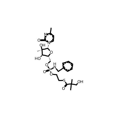 Cc1ccn([C@@H]2O[C@H](COP(=O)(NCc3ccccc3)OCCSC(=O)C(C)(C)CO)[C@@H](O)[C@@]2(C)O)c(=O)n1